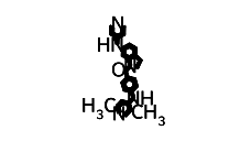 Cc1cc(Nc2ccc(C(=O)N3CCc4ccc(Nc5ccncc5)cc43)cc2)c(C)cn1